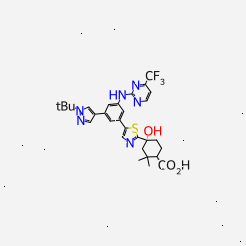 CC1(C)C[C@@](O)(c2ncc(-c3cc(Nc4nccc(C(F)(F)F)n4)cc(-c4cnn(C(C)(C)C)c4)c3)s2)CC[C@H]1C(=O)O